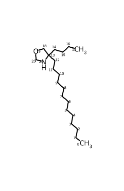 CCCCCCCCCCCCCC1(CCCC)COCN1